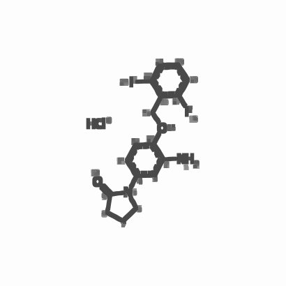 Cl.Nc1cc(N2CCCC2=O)ccc1OCc1c(F)cccc1F